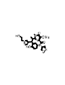 COc1c(C(=O)Nc2cnoc2)nc(C(C)C(c2cnn(CCO)c2)c2ccccc2C#N)n(C)c1=O